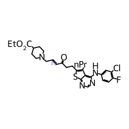 CCCc1c(CCC(=O)/C=C/CN2CCC(C(=O)OCC)CC2)sc2ncnc(Nc3ccc(F)c(Cl)c3)c12